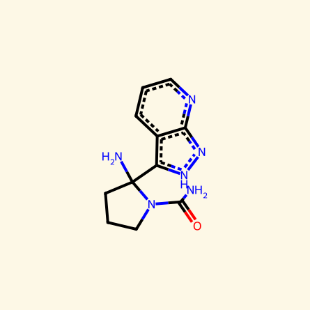 NC(=O)N1CCCC1(N)c1[nH]nc2ncccc12